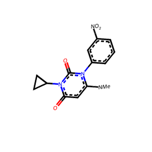 CNc1cc(=O)n(C2CC2)c(=O)n1-c1cccc([N+](=O)[O-])c1